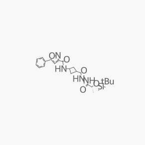 C[C@@H](O[Si](C)(C)C(C)(C)C)C(=O)NNC(=O)C1CC(NC(=O)c2cc(-c3ccccc3)on2)C1